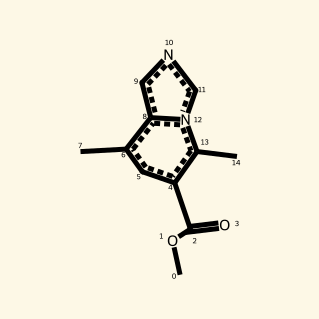 COC(=O)c1cc(C)c2cncn2c1C